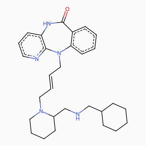 O=C1Nc2cccnc2N(CC=CCN2CCCCC2CNCC2CCCCC2)c2ccccc21